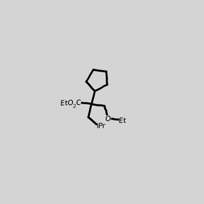 CCOCC(CC(C)C)(C(=O)OCC)C1CCCC1